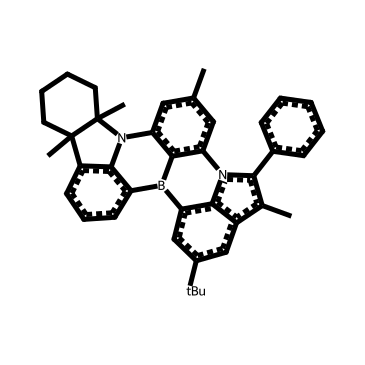 Cc1cc2c3c(c1)-n1c(-c4ccccc4)c(C)c4cc(C(C)(C)C)cc(c41)B3c1cccc3c1N2C1(C)CCCCC31C